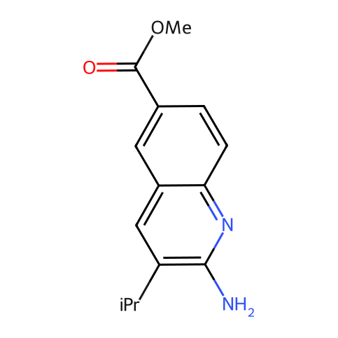 COC(=O)c1ccc2nc(N)c(C(C)C)cc2c1